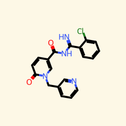 N=C(NC(=O)c1ccc(=O)n(Cc2cccnc2)c1)c1ccccc1Cl